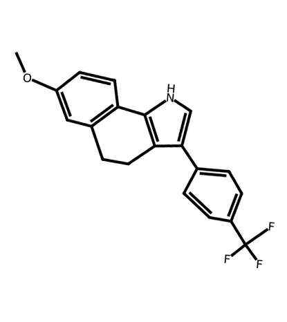 COc1ccc2c(c1)CCc1c(-c3ccc(C(F)(F)F)cc3)c[nH]c1-2